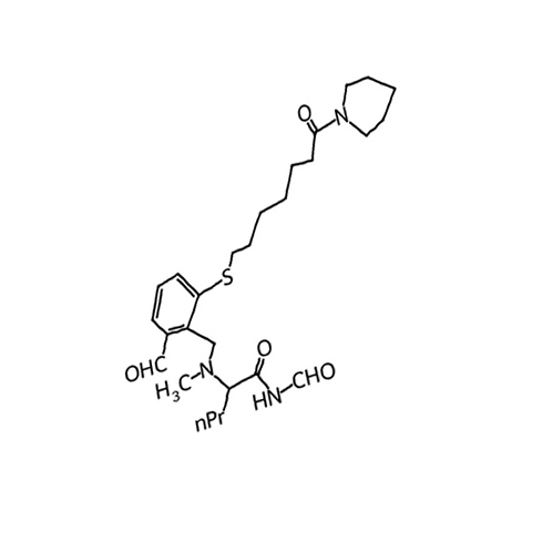 CCCC(C(=O)NC=O)N(C)Cc1c(C=O)cccc1SCCCCCCC(=O)N1CCCCC1